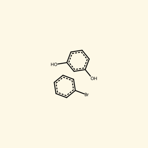 Brc1ccccc1.Oc1cccc(O)c1